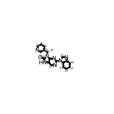 C[C@@H](c1cccnc1)n1c(=O)[nH]c2cnc(-n3cnc4ccccc43)nc21